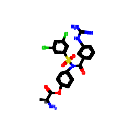 C[C@H](N)C(=O)Oc1ccc(N(C(=O)c2cccc(NC(=N)N)c2)S(=O)(=O)c2cc(Cl)cc(Cl)c2)cc1